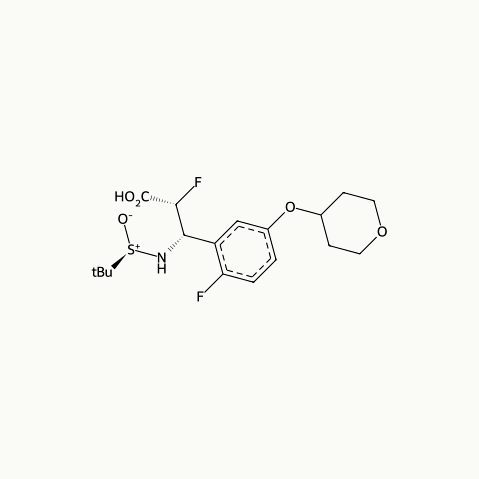 CC(C)(C)[S@@+]([O-])N[C@@H](c1cc(OC2CCOCC2)ccc1F)[C@@H](F)C(=O)O